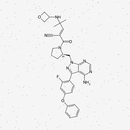 CC(C)(C=C(C#N)C(=O)N1CCC[C@@H]1Cn1nc(-c2ccc(Oc3ccccc3)cc2F)c2c(N)ncnc21)NC1COC1